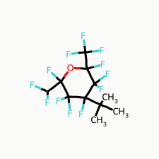 CC(C)(C)C1(F)C(F)(F)C(F)(C(F)F)OC(F)(C(F)(F)F)C1(F)F